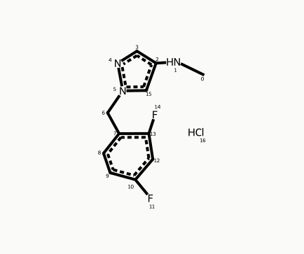 CNc1cnn(Cc2ccc(F)cc2F)c1.Cl